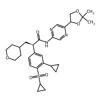 CC1(C)OCC(c2cnc(NC(=O)[C@H](CC3CCOCC3)c3ccc(S(=O)(=O)C4CC4)c(C4CC4)c3)cn2)O1